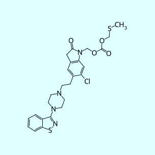 CSCOC(=O)OCN1C(=O)Cc2cc(CCN3CCN(c4nsc5ccccc45)CC3)c(Cl)cc21